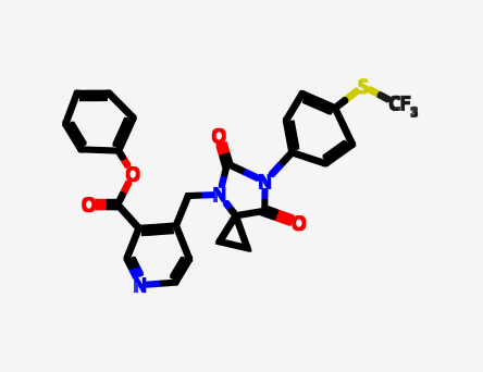 O=C(Oc1ccccc1)c1cnccc1CN1C(=O)N(c2ccc(SC(F)(F)F)cc2)C(=O)C12CC2